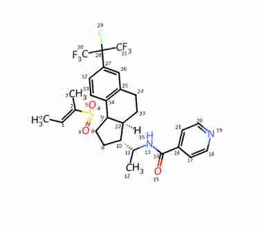 C/C=C(\C)S(=O)(=O)[C@@]12CC[C@@H](C(C)NC(=O)c3ccncc3)[C@@H]1CCc1cc(C(F)(C(F)(F)F)C(F)(F)F)ccc12